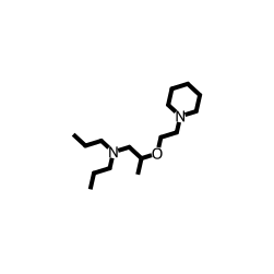 CCCN(CCC)CC(C)OCCN1CCCCC1